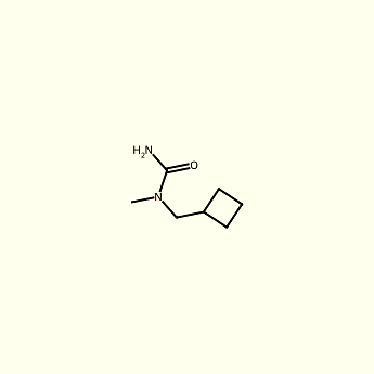 CN(CC1CCC1)C(N)=O